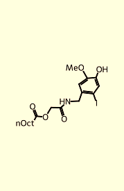 CCCCCCCCC(=O)OCC(=O)NCc1cc(OC)c(O)cc1I